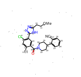 CCc1cc(Cl)c(-c2nnc(CCOC)[nH]2)cc1C(=O)N1CCC(c2ccccc2C#N)CC1